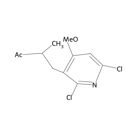 COc1cc(Cl)nc(Cl)c1CC(C)C(C)=O